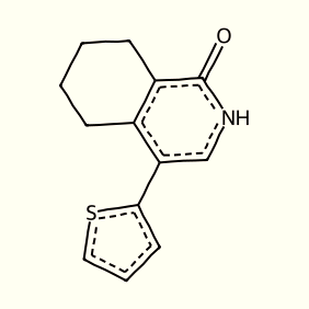 O=c1[nH]cc(-c2cccs2)c2c1CCCC2